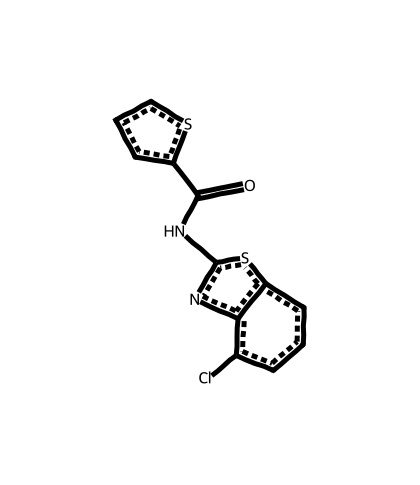 O=C(Nc1nc2c(Cl)cccc2s1)c1cccs1